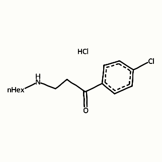 CCCCCCNCCC(=O)c1ccc(Cl)cc1.Cl